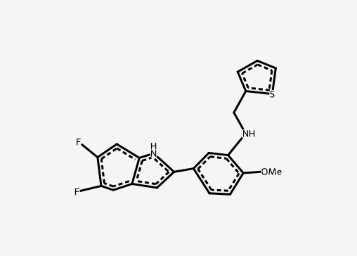 COc1ccc(-c2cc3cc(F)c(F)cc3[nH]2)cc1NCc1cccs1